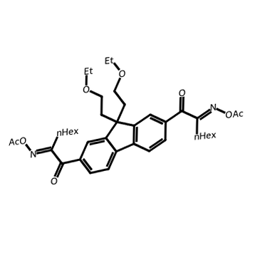 CCCCCC/C(=N\OC(C)=O)C(=O)c1ccc2c(c1)C(CCOCC)(CCOCC)c1cc(C(=O)/C(CCCCCC)=N/OC(C)=O)ccc1-2